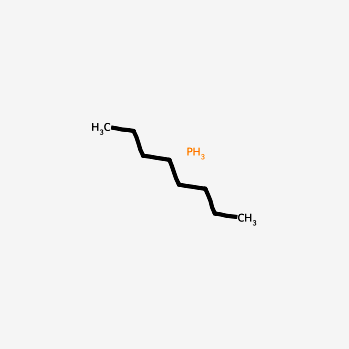 CCCCCCCC.P